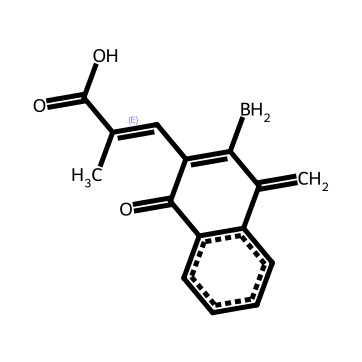 BC1=C(/C=C(\C)C(=O)O)C(=O)c2ccccc2C1=C